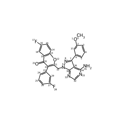 COc1cccc(-c2nn(Cc3oc4ccc(F)cc4c(=O)c3-c3cccc(F)c3)c3ncnc(N)c23)c1